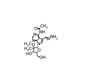 COC1(C)C(O)C(CO)O[C@H]1n1cc(/C=N/N)c2c(NC(C)=O)ncnc21